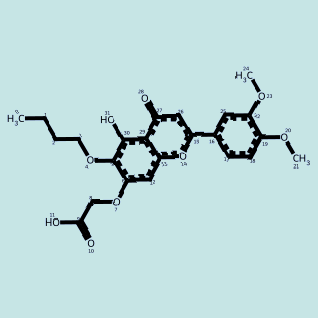 CCCCOc1c(OCC(=O)O)cc2oc(-c3ccc(OC)c(OC)c3)cc(=O)c2c1O